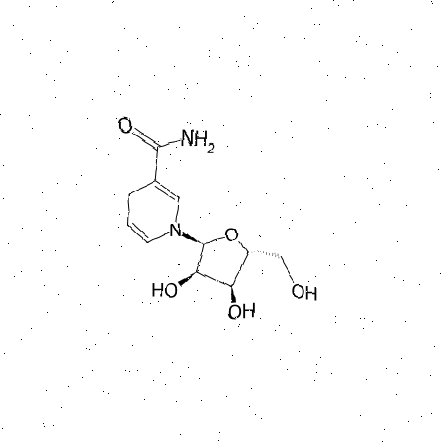 NC(=O)C1=CN([C@H]2O[C@H](CO)[C@@H](O)[C@H]2O)C=CC1